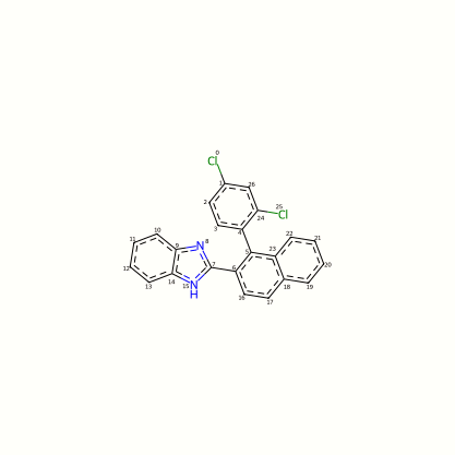 Clc1ccc(-c2c(-c3nc4ccccc4[nH]3)ccc3ccccc23)c(Cl)c1